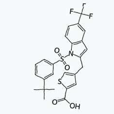 CC(C)(C)c1cccc(S(=O)(=O)n2c(Cc3csc(C(=O)O)c3)cc3cc(C(F)(F)F)ccc32)c1